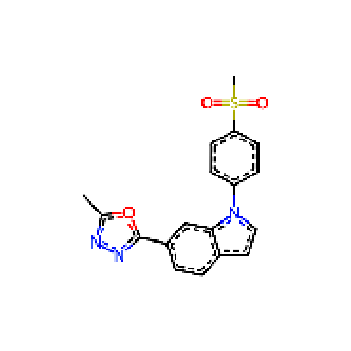 Cc1nnc(-c2ccc3ccn(-c4ccc(S(C)(=O)=O)cc4)c3c2)o1